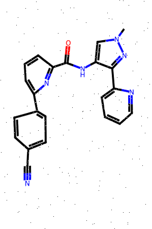 Cn1cc(NC(=O)c2cccc(-c3ccc(C#N)cc3)n2)c(-c2ccccn2)n1